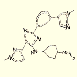 Cn1cc(-c2cccc(-c3ncc(-c4ccn(C)n4)c(NC4CCC(N)CC4)n3)c2)cn1